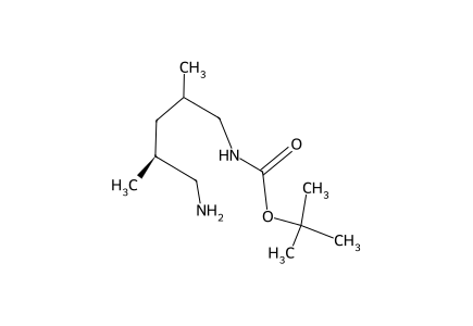 CC(CNC(=O)OC(C)(C)C)C[C@H](C)CN